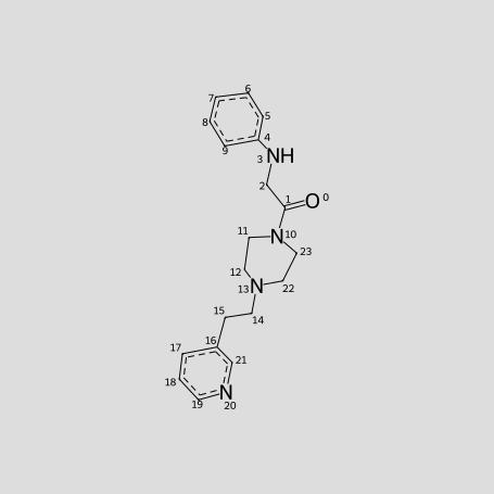 O=C(CNc1ccccc1)N1CCN(CCc2cccnc2)CC1